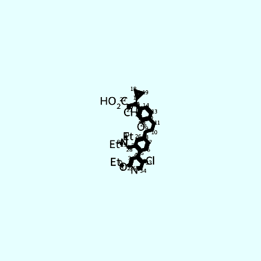 CCOc1cc(-c2ccc(C3CCc4ccc([C@H](C5CC5)[C@H](C)C(=O)O)cc4O3)cc2CN(CC)CC)c(Cl)cn1